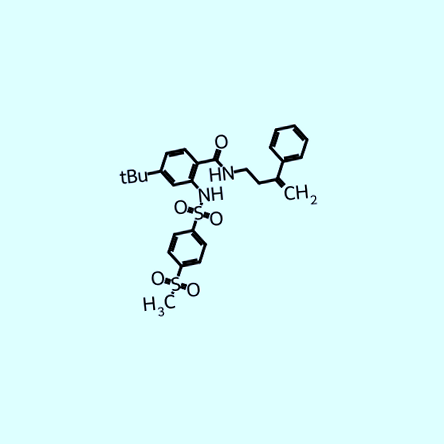 C=C(CCNC(=O)c1ccc(C(C)(C)C)cc1NS(=O)(=O)c1ccc(S(C)(=O)=O)cc1)c1ccccc1